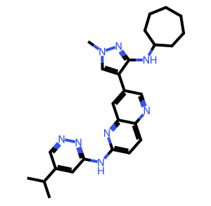 CC(C)c1cnnc(Nc2ccc3ncc(-c4cn(C)nc4NC4CCCCCC4)cc3n2)c1